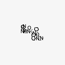 Cc1nn2cccnc2c1C(=O)N[C@@H](C)c1cc2cccc(N3CCN(C)CC3)c2c(=O)n1-c1ccccc1